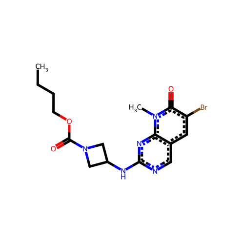 CCCCOC(=O)N1CC(Nc2ncc3cc(Br)c(=O)n(C)c3n2)C1